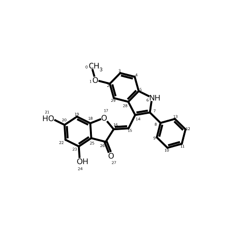 COc1ccc2[nH]c(-c3ccccc3)c(C=C3Oc4cc(O)cc(O)c4C3=O)c2c1